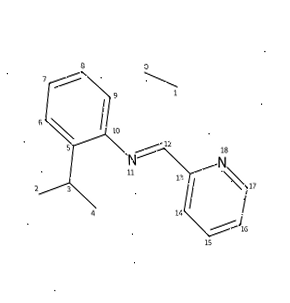 CC.CC(C)c1ccccc1N=Cc1ccccn1